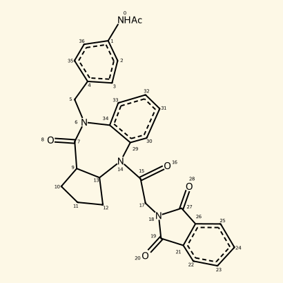 CC(=O)Nc1ccc(CN2C(=O)C3CCCC3N(C(=O)CN3C(=O)c4ccccc4C3=O)c3ccccc32)cc1